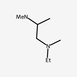 CCN(C)CC(C)NC